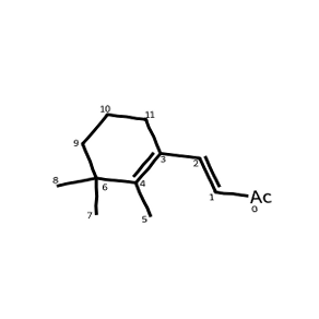 CC(=O)C=CC1=C(C)C(C)(C)CCC1